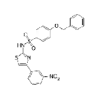 O=[N+]([O-])c1cccc(-c2csc(NS(=O)(=O)c3ccc(OCc4ccccc4)cc3)n2)c1